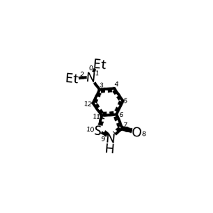 CCN(CC)c1ccc2c(=O)[nH]sc2c1